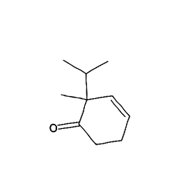 CC(C)C1(C)C=CCCC1=O